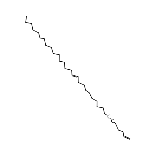 C=CCCCCCCCCCCCCCCC=CCCCCCCCCCCCCCCC